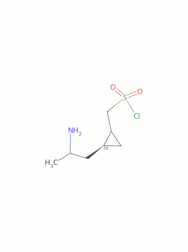 CC(N)C[C@@H]1CC1CS(=O)(=O)Cl